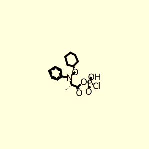 C[C@@H](C(=O)OP(=O)(O)Cl)N(OC1CCCCC1)c1ccccc1